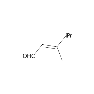 CC(=C[C]=O)C(C)C